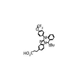 CC(C)(C)C(c1ccccc1)n1c(Nc2ccc(OC(F)(F)F)cc2)nc2cc(CCC(=O)O)ccc21